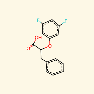 O=C(O)C(Cc1ccccc1)Oc1cc(F)cc(F)c1